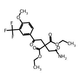 CCOC(=O)C(CC(N)=O)(CC(=O)c1ccc(OC)c(C(F)(F)F)c1)C(=O)OCC